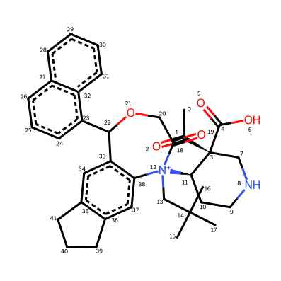 CC(=O)[C@@]1(C(=O)O)CNCC[C@H]1[N+]1(CC(C)(C)C)C(=O)COC(c2cccc3ccccc23)c2cc3c(cc21)CCC3